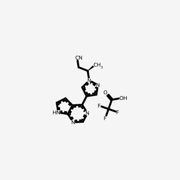 C[C@H](CC#N)n1cc(-c2ncnc3[nH]ccc23)cn1.O=C(O)C(F)(F)F